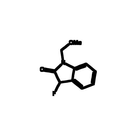 COCN1C(=O)C(F)c2ccccc21